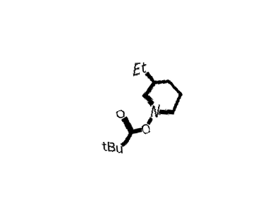 CCC1CCCN(OC(=O)C(C)(C)C)C1